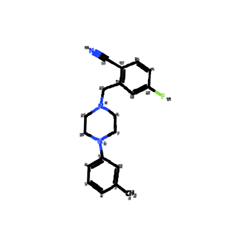 Cc1cccc(N2CCN(Cc3cc(F)ccc3C#N)CC2)c1